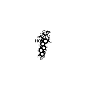 COC(=O)C1OC(C(O)C23CCC4C(=CCC5C4(C)CCC4C(C)C(=O)CCC45C)C2CC(C)(C)CC3)C(C)OC1O